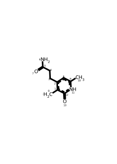 [CH2]c1c(CCC(N)=O)cc(C)[nH]c1=O